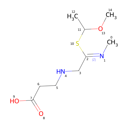 C/N=C(/CNCCC(=O)O)SC(C)OC